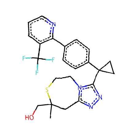 CC1(CO)Cc2nnc(C3(c4ccc(-c5ncccc5C(F)(F)F)cc4)CC3)n2CCS1